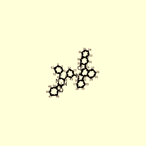 c1ccc(-c2nc3c(nc2-c2cccc(-n4c5ccccc5c5c6ccccc6c6c7cc8ccccc8cc7oc6c54)c2)oc2ccccc23)cc1